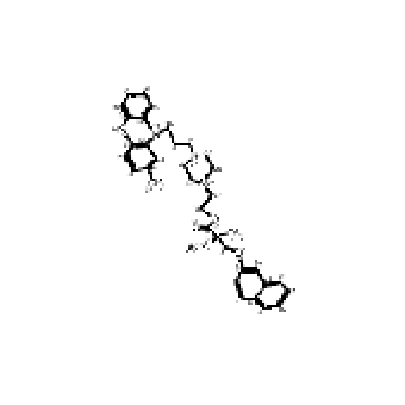 CC(=O)NC(C)(COc1ccc2ccccc2c1)C(=O)OCCN1CCN(CCCN2c3ccccc3Sc3ccc(C(F)(F)F)cc32)CC1